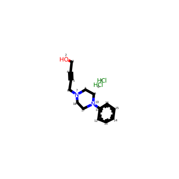 Cl.Cl.OCC#CCN1CCN(c2ccccc2)CC1